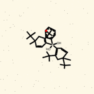 CC(C)(C)C1=C(P(O)(O)(C2=C(C(C)(C)C)CC(C)(C(C)(C)C)C=C2)c2ccccc2)C=CC(C)(C(C)(C)C)C1